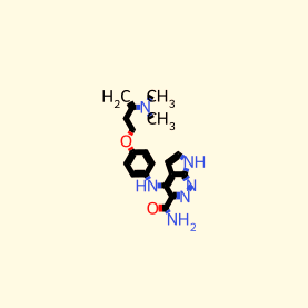 C=C(CCOc1ccc(Nc2c(C(N)=O)nnc3[nH]ccc23)cc1)N(C)C